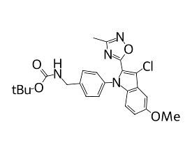 COc1ccc2c(c1)c(Cl)c(-c1nc(C)no1)n2-c1ccc(CNC(=O)OC(C)(C)C)cc1